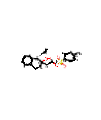 C=CC[C@H]1c2ccccc2CC[C@@]1(O)CCOS(=O)(=O)c1ccc(C)cc1